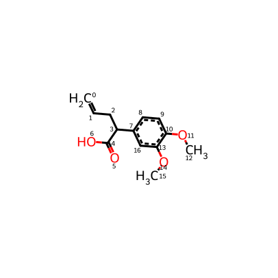 C=CCC(C(=O)O)c1ccc(OC)c(OC)c1